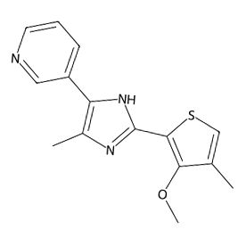 COc1c(C)csc1-c1nc(C)c(-c2cccnc2)[nH]1